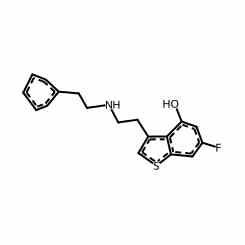 Oc1cc(F)cc2scc(CCNCCc3ccccc3)c12